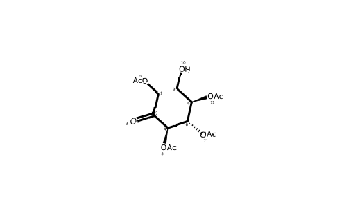 CC(=O)OCC(=O)[C@H](OC(C)=O)[C@@H](OC(C)=O)[C@@H](CO)OC(C)=O